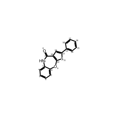 O=C1Nc2ccccc2Oc2sc(-c3ccccc3)cc21